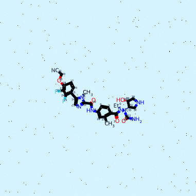 CCN(C(=O)c1ccc(NC(=O)c2ncc(-c3ccc(OCC#N)c(F)c3F)n2C)cc1C)N(C(N)=O)[C@H]1CNC[C@@H]1O